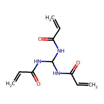 C=CC(=O)N[C](NC(=O)C=C)NC(=O)C=C